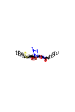 CC(C)(C)CCC(=O)NCCOCCNC(=O)CCSCC(C)(C)C